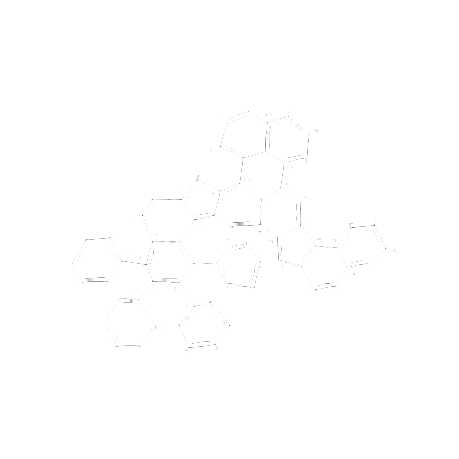 c1ccc(-c2c(-c3ccccc3)c(-c3ccccc3)c3c(ccc4cc5c(cc6c7cc8ccc9ccccc9c8c7cc7c8cccc9cccc(c98)c5c67)c43)c2-c2ccccc2)cc1